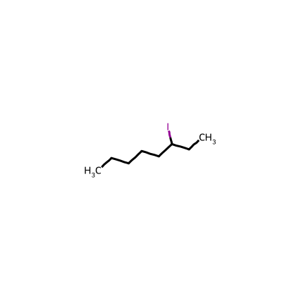 CCCCCC(I)CC